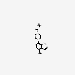 CC(C)(C)OC(=O)N1CCN(c2ccc(C(=O)O)c3ccnnc23)CC1